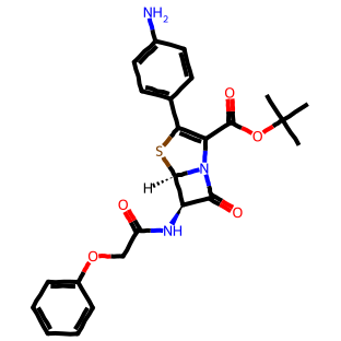 CC(C)(C)OC(=O)C1=C(c2ccc(N)cc2)S[C@@H]2[C@H](NC(=O)COc3ccccc3)C(=O)N12